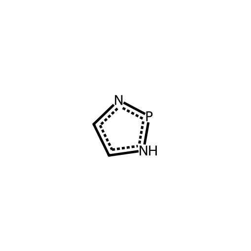 c1c[nH]pn1